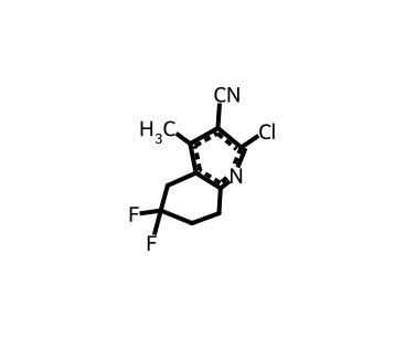 Cc1c(C#N)c(Cl)nc2c1CC(F)(F)CC2